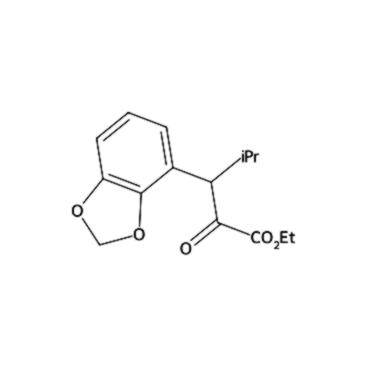 CCOC(=O)C(=O)C(c1cccc2c1OCO2)C(C)C